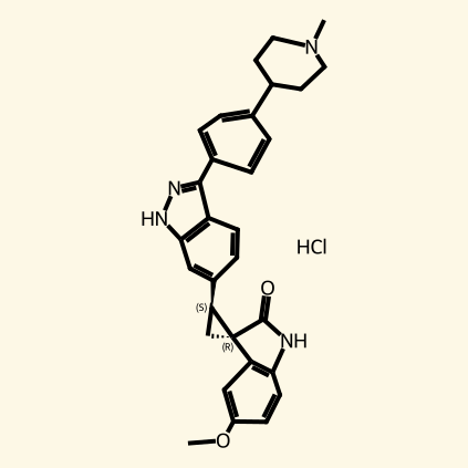 COc1ccc2c(c1)[C@]1(C[C@H]1c1ccc3c(-c4ccc(C5CCN(C)CC5)cc4)n[nH]c3c1)C(=O)N2.Cl